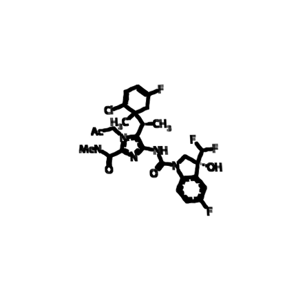 CNC(=O)c1nc(NC(=O)N2C[C@@](O)(C(F)F)c3cc(F)ccc32)c([C@H](C)C2(C)CC(F)=CC=C2Cl)n1CC(C)=O